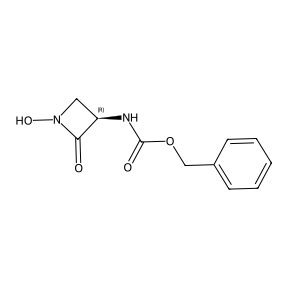 O=C(N[C@@H]1CN(O)C1=O)OCc1ccccc1